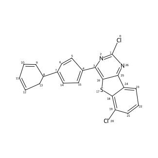 Clc1nc(-c2ccc(C3C=CC=CC3)cc2)c2sc3c(Cl)cccc3c2n1